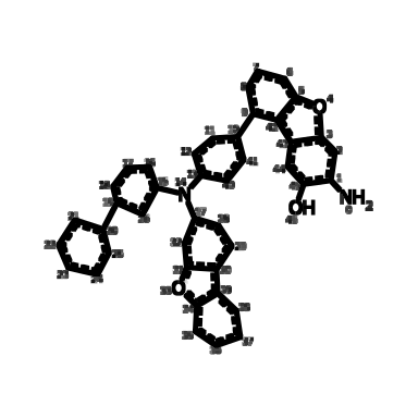 Nc1cc2oc3cccc(-c4ccc(N(c5cccc(-c6ccccc6)c5)c5ccc6c(c5)oc5ccccc56)cc4)c3c2cc1O